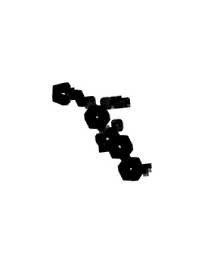 COc1cc(-n2cnc3cc(-c4cccc(F)c4)ccc3c2=O)ccc1OCCN1CCCC1